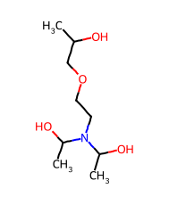 CC(O)COCCN(C(C)O)C(C)O